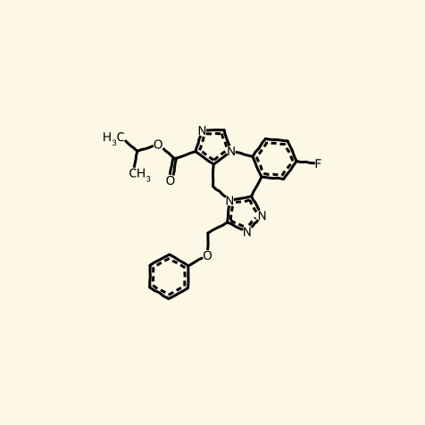 CC(C)OC(=O)c1ncn2c1Cn1c(COc3ccccc3)nnc1-c1cc(F)ccc1-2